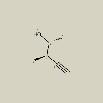 C#C[C@@H](C)[C@@H](C)O